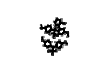 COc1ccc(C([SiH3])(c2ccc(OC)cc2-c2ccccc2Br)C(Cl)(Cl)Cl)cc1.COc1ccc(C(c2ccc(OC)cc2)C(Cl)(Cl)Cl)cc1